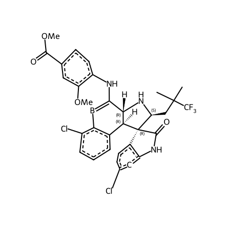 COC(=O)c1ccc(NC2=Bc3c(Cl)cccc3[C@H]3[C@H]2N[C@@H](CC(C)(C)C(F)(F)F)[C@@]32C(=O)Nc3cc(Cl)ccc32)c(OC)c1